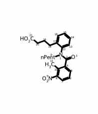 CCCCCN(C(=O)c1cccc([N+](=O)[O-])c1C)c1ccccc1CCCC(=O)O